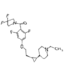 CCN1CCC([C@H]2C[C@H]2CCOc2cc(F)c(C(=O)N3CC(F)(F)C3)c(F)c2)CC1